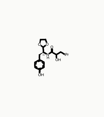 CC(C)CC(O)C(=O)N[C@@H](Cc1ccc(O)cc1)C1OCCO1